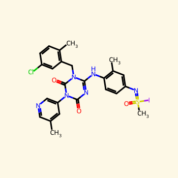 Cc1cncc(-n2c(=O)nc(Nc3ccc(N=S(C)(=O)I)cc3C)n(Cc3cc(Cl)ccc3C)c2=O)c1